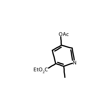 CCOC(=O)c1cc(OC(C)=O)cnc1C